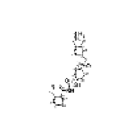 CN1Cc2ccc(CS(=O)(=O)c3ccc(NC(=O)NC4CCCc5ccccc54)cc3)cc2C1